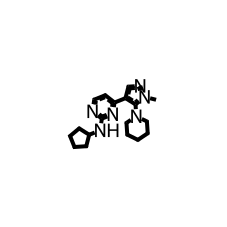 Cn1ncc(-c2ccnc(NC3CCCC3)n2)c1N1CCCCC1